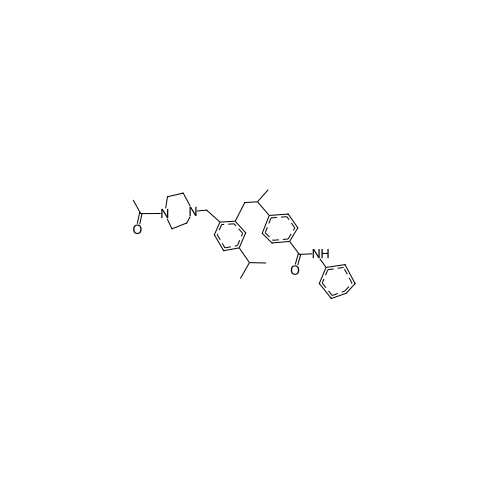 CC(=O)N1CCN(Cc2ccc(C(C)C)cc2CC(C)c2ccc(C(=O)Nc3ccccc3)cc2)CC1